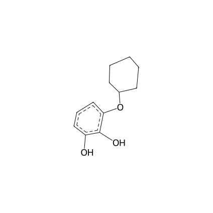 Oc1cccc(OC2CCCCC2)c1O